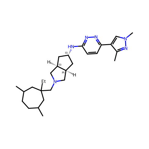 CCC1(CN2C[C@H]3C[C@H](Nc4ccc(-c5cn(C)nc5C)nn4)C[C@H]3C2)CC(C)CCC(C)C1